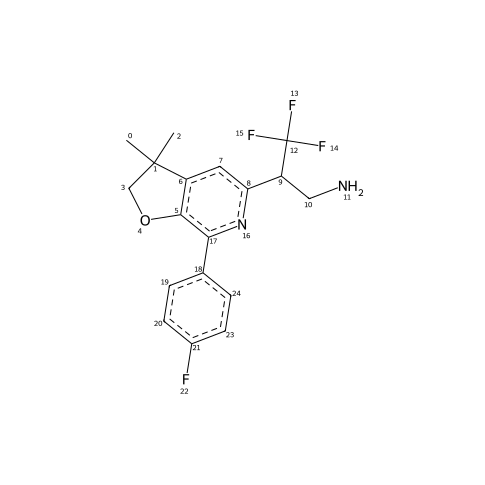 CC1(C)COc2c1cc(C(CN)C(F)(F)F)nc2-c1ccc(F)cc1